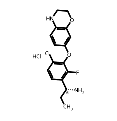 CC[C@@H](N)c1ccc(Cl)c(Oc2ccc3c(c2)OCCN3)c1F.Cl